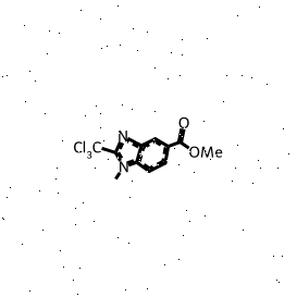 COC(=O)c1ccc2c(c1)nc(C(Cl)(Cl)Cl)n2C